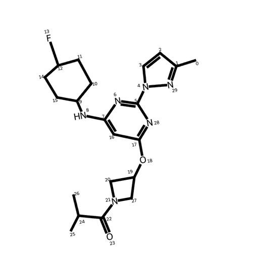 Cc1ccn(-c2nc(NC3CCC(F)CC3)cc(OC3CN(C(=O)C(C)C)C3)n2)n1